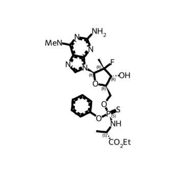 CCOC(=O)[C@H](C)N[P@](=S)(OC[C@H]1O[C@@H](n2cnc3c(NC)nc(N)nc32)[C@](C)(F)[C@@H]1O)Oc1ccccc1